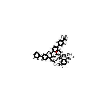 COC(=O)CC(c1ccc(-c2ccccc2)cc1)N(C[C@H]1CCCN1S(=O)(=O)c1ccccc1S(C)(=O)=O)C(=O)c1ccc(-c2ccc(C(F)(F)F)cc2)cc1